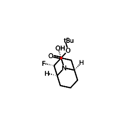 CC(C)(C)OC(=O)N1[C@@H]2CCC[C@H]1[C@H](F)[C@H](O)C2